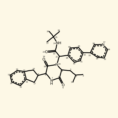 CC(C)CC1C(=O)NC(C2Cc3ccccc3C2)C(=O)N1C(C(=O)NC(C)(C)C)c1ccc(-c2cccnc2)cc1